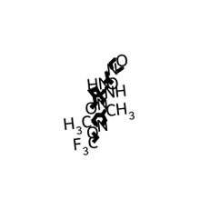 Cc1cc(C(C)N2CC3(C(=N)NC(=O)CN4CCOCC4)C=CC3C2=O)cnc1OCC(F)(F)F